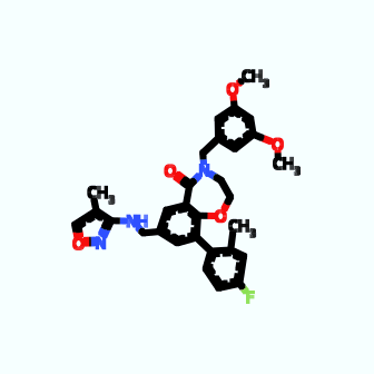 COc1cc(CN2CCOc3c(cc(CNc4nocc4C)cc3-c3ccc(F)cc3C)C2=O)cc(OC)c1